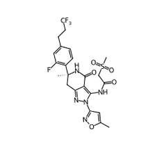 Cc1cc(-n2nc3c(c2NC(=O)CS(C)(=O)=O)C(=O)N[C@](C)(c2ccc(CCC(F)(F)F)cc2F)C3)no1